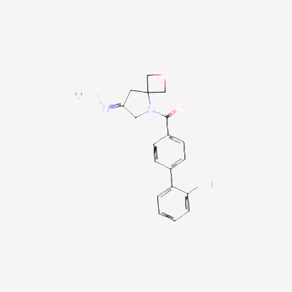 CO/N=C1/CN(C(=O)c2ccc(-c3ccccc3C)cc2)C2(COC2)C1